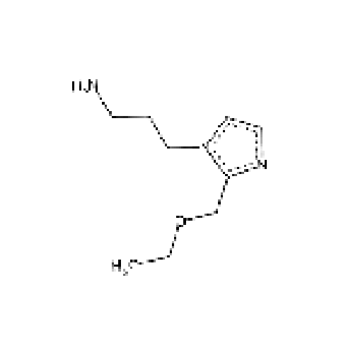 CCOCc1nccn1CCCN